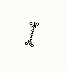 c1ccc(-c2nc(-c3ccc(-c4ccc(-c5ccc(-c6nc(-c7ccccc7)c7sc8ccccc8c7n6)cc5)cc4)cc3)nc3c2sc2ccccc23)cc1